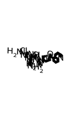 NN=NC1=NC(N=NN)=C(Cl)NC1C(=O)NC1NC2(CCN(C(=O)c3cccc4ncccc34)CC2)CN1N